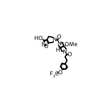 CO[C@]12CN(C(=O)CCc3ccc(OC(F)(F)F)cc3)C[C@@H]1CN(C(=O)N1CCc3c(O)noc3C1)C2